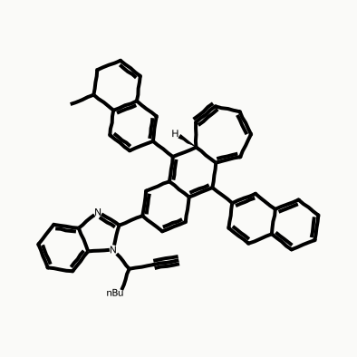 C#CC(CCCC)n1c(-c2ccc3c(c2)=C(c2ccc4c(c2)C=CCC4C)[C@@H]2C#CC=CC=C2C=3c2ccc3ccccc3c2)nc2ccccc21